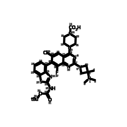 CN(C)C1(C)CN(c2nc(N3CCN(C(=O)O)CC3)c3cc(Cl)c(-c4cccc5sc(NC(=O)OC(C)(C)C)nc45)c(F)c3n2)C1